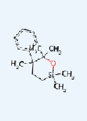 CC1(C)O[Si](C)(C)CCC1(C)c1ccccc1